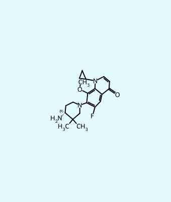 COc1c(N2CC[C@@H](N)C(C)(C)C2)c(F)cc2c(=O)ccn(C3CC3)c12